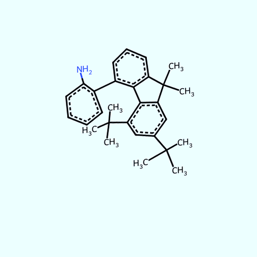 CC(C)(C)c1cc(C(C)(C)C)c2c(c1)C(C)(C)c1cccc(-c3ccccc3N)c1-2